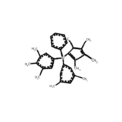 CC1=C(C)C(C)C([Si](c2ccccc2)(c2cc(C)cc(C)c2)c2cc(C)c(C)c(C)c2)=C1C